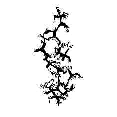 C=C(c1cnn(C(C)CCC(C)(C)C(=O)Nc2c(C(C)(O)C(F)(F)F)cnn2C(C)C)c1NC(=O)C(C)(C)C)C(F)(F)F